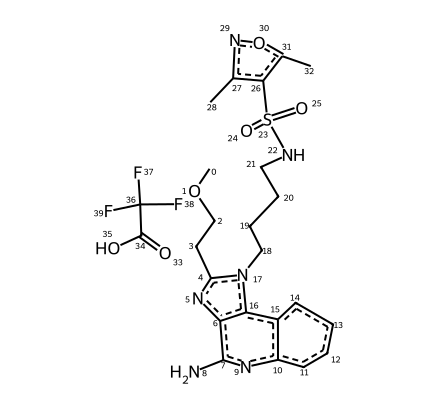 COCCc1nc2c(N)nc3ccccc3c2n1CCCCNS(=O)(=O)c1c(C)noc1C.O=C(O)C(F)(F)F